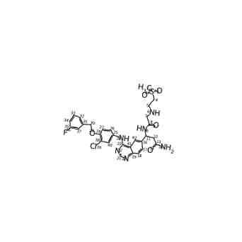 CS(=O)(=O)CCNCC(=O)NC(CC(N)=O)c1ccc2ncnc(Nc3ccc(OCc4cccc(F)c4)c(Cl)c3)c2c1